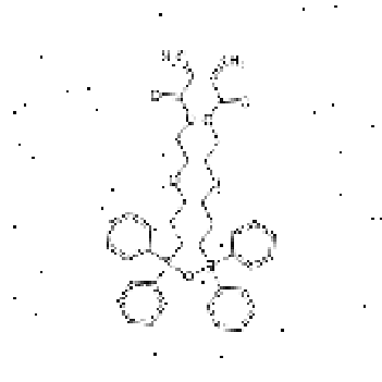 C=CC(=O)OCCOCCC[Si](O[Si](CCCOCCOC(=O)C=C)(c1ccccc1)c1ccccc1)(c1ccccc1)c1ccccc1